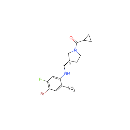 O=C(C1CC1)N1CC[C@@H](CNc2cc(F)c(Br)cc2[N+](=O)[O-])C1